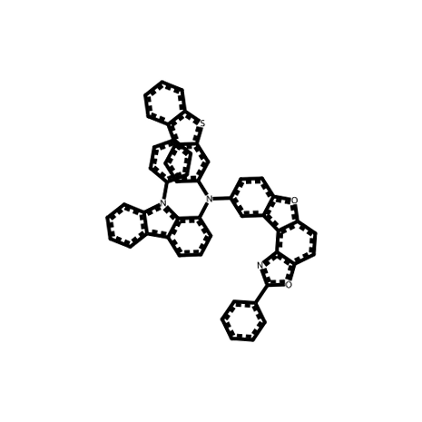 c1ccc(-c2nc3c(ccc4oc5ccc(N(c6ccc7c(c6)sc6ccccc67)c6cccc7c8ccccc8n(-c8ccccc8)c67)cc5c43)o2)cc1